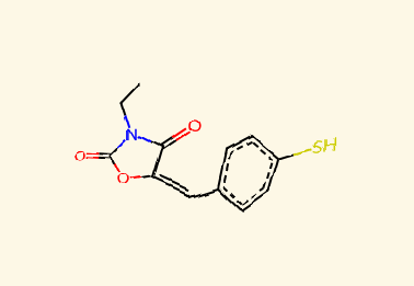 CCN1C(=O)O/C(=C/c2ccc(S)cc2)C1=O